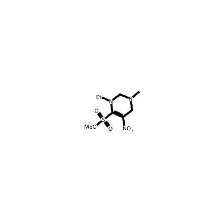 CCN1CN(C)CC([N+](=O)[O-])=C1S(=O)(=O)OC